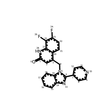 O=c1cc(Cn2c(-c3ccncc3)nc3ccccc32)c2ccc(F)c(F)c2[nH]1